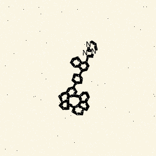 c1ccc2c(-c3cn4cccnc4n3)ccc(-c3ccc(-c4cc5ccc6cccc7c8cccc9ccc%10cccc(c(c4)c5c67)c%10c98)cc3)c2c1